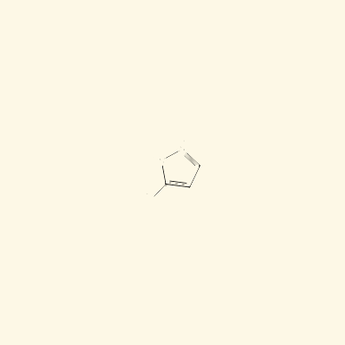 OC1=CC=N[N]1